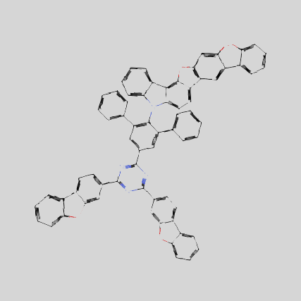 c1ccc(-c2cc(-c3nc(-c4ccc5c(c4)oc4ccccc45)nc(-c4ccc5c(c4)oc4ccccc45)n3)cc(-c3ccccc3)c2-n2c3ccccc3c3c4oc5cc6oc7ccccc7c6cc5c4ccc32)cc1